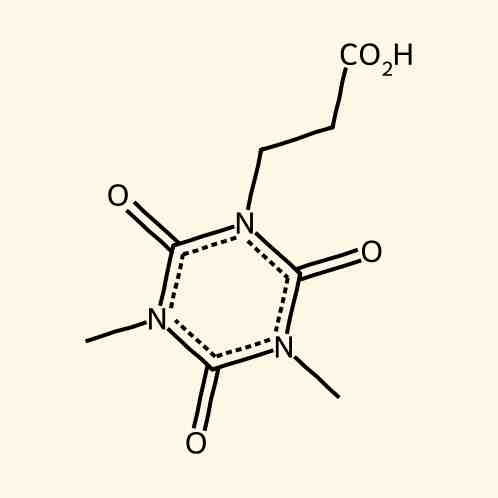 Cn1c(=O)n(C)c(=O)n(CCC(=O)O)c1=O